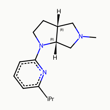 CC(C)c1cccc(N2CC[C@@H]3CN(C)C[C@@H]32)n1